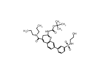 CCCN(CCC)C(=O)C1=Cc2ccc(-c3cccc(S(=O)(=O)NCCO)c3)cc2N=C(NC(=O)OC(C)(C)C)C1